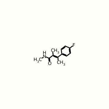 CNC(=O)/C(C)=C(\C)c1ccc(F)cc1